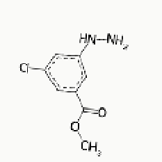 COC(=O)c1cc(Cl)cc(NN)c1